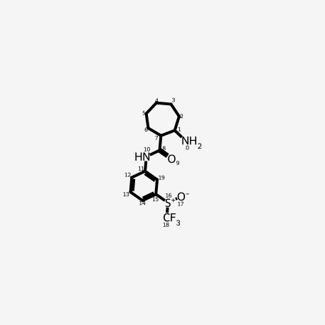 NC1CCCCCC1C(=O)Nc1cccc([S+]([O-])C(F)(F)F)c1